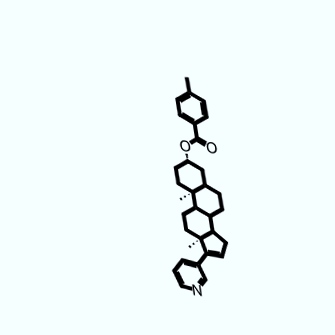 Cc1ccc(C(=O)O[C@H]2CC[C@@]3(C)C(CCC4C3CC[C@]3(C)C(c5cccnc5)=CCC43)C2)cc1